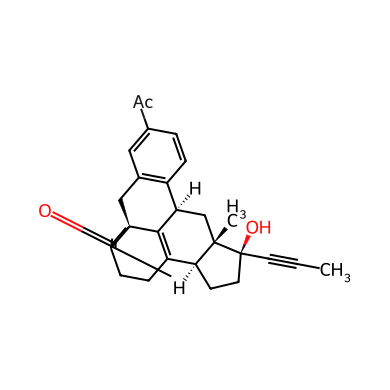 CC#C[C@]1(O)CC[C@H]2C3=C4[C@H](C[C@@]21C)c1ccc(C(C)=O)cc1C[C@@]41CCC(=O)C=C1CC3